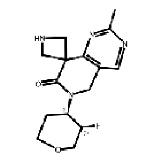 Cc1ncc2c(n1)C1(CNC1)C(=O)N([C@@H]1CCOC[C@@H]1F)C2